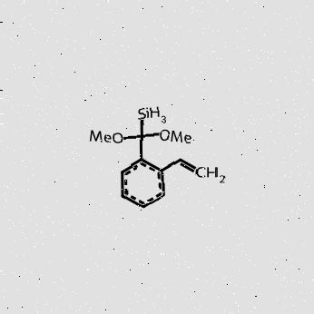 C=Cc1ccccc1C([SiH3])(OC)OC